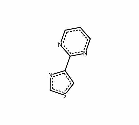 c1cnc(-c2cscn2)nc1